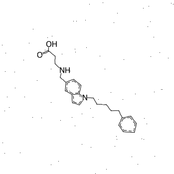 O=C(O)CCNCc1ccc2c(ccn2CCCCCc2ccccc2)c1